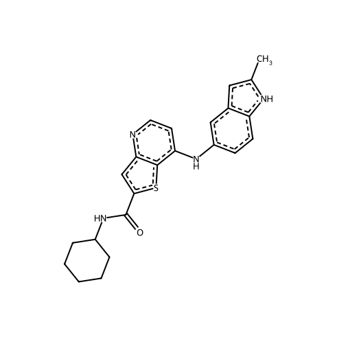 Cc1cc2cc(Nc3ccnc4cc(C(=O)NC5CCCCC5)sc34)ccc2[nH]1